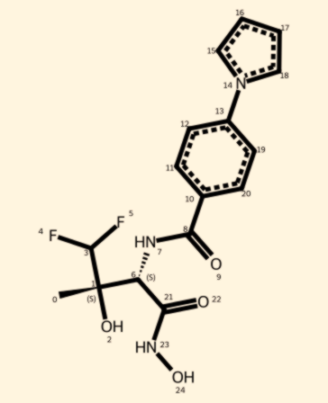 C[C@@](O)(C(F)F)[C@H](NC(=O)c1ccc(-n2cccc2)cc1)C(=O)NO